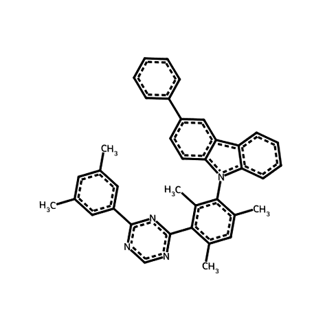 Cc1cc(C)cc(-c2ncnc(-c3c(C)cc(C)c(-n4c5ccccc5c5cc(-c6ccccc6)ccc54)c3C)n2)c1